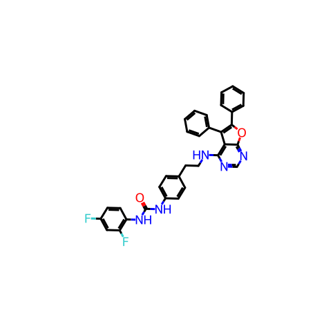 O=C(Nc1ccc(CCNc2ncnc3oc(-c4ccccc4)c(-c4ccccc4)c23)cc1)Nc1ccc(F)cc1F